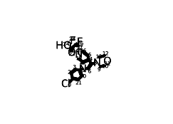 Clc1ccc(-n2cc(N3CCOCC3)c3ccncc32)cc1.O=C(O)C(F)(F)F